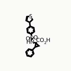 O=C(O)C1(NS(=O)(=O)c2ccc(C3C=CSC3)cc2)CC1c1ccccc1